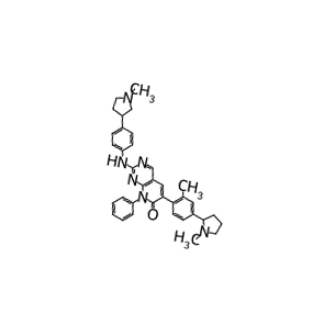 Cc1cc(C2CCCN2C)ccc1-c1cc2cnc(Nc3ccc(C4CCN(C)C4)cc3)nc2n(-c2ccccc2)c1=O